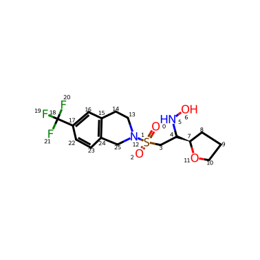 O=S(=O)(CC(NO)[C@H]1CCCO1)N1CCc2cc(C(F)(F)F)ccc2C1